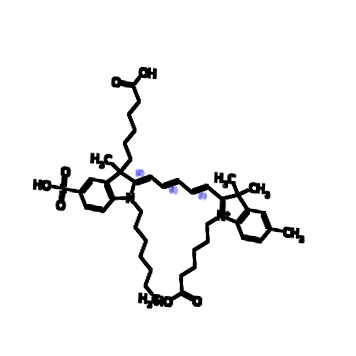 CCCCCCCN1\C(=C/C=C/C=C/C2=[N+](CCCCCC(=O)O)c3ccc(C)cc3C2(C)C)C(C)(CCCCCC(=O)O)c2cc(S(=O)(=O)O)ccc21